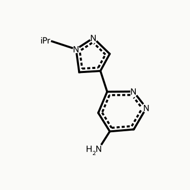 CC(C)n1cc(-c2cc(N)cnn2)cn1